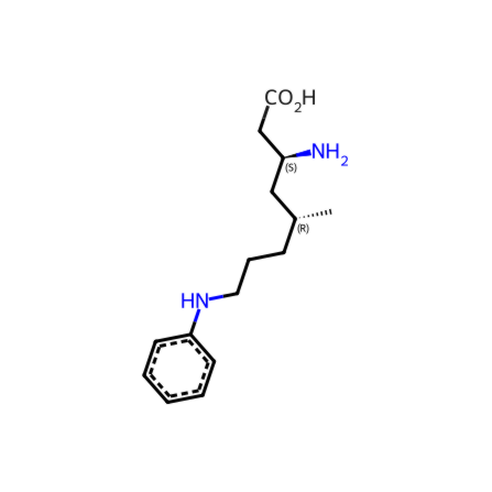 C[C@H](CCCNc1ccccc1)C[C@H](N)CC(=O)O